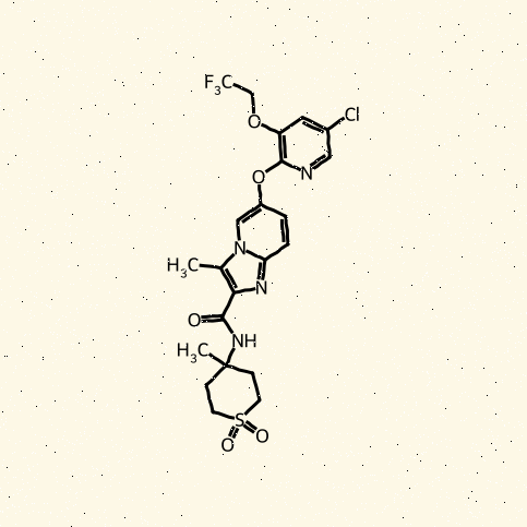 Cc1c(C(=O)NC2(C)CCS(=O)(=O)CC2)nc2ccc(Oc3ncc(Cl)cc3OCC(F)(F)F)cn12